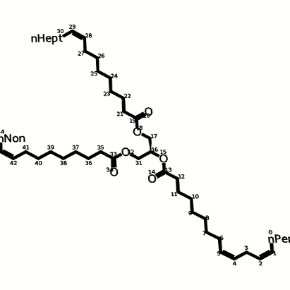 CCCCC/C=C\C/C=C\CCCCCCCC(=O)O[C@H](COC(=O)CCCCCCC/C=C\CCCCCCC)COC(=O)CCCCCCC/C=C\CCCCCCCCC